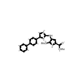 COC(=O)c1cc(Nc2nc(-c3ccc(-c4ccccc4)cc3)cs2)c(SC)s1